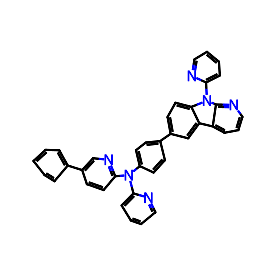 c1ccc(-c2ccc(N(c3ccc(-c4ccc5c(c4)c4cccnc4n5-c4ccccn4)cc3)c3ccccn3)nc2)cc1